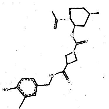 C=C(C)[C@@H]1CC[C@@H](C)C[C@H]1OC(=O)N1CC(C(=O)NCc2ccc(O)c(C)c2)C1